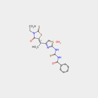 O.O=C(O)CN1C(=O)/C(=C(\C(=O)O)c2csc(NC(=S)NC(=O)c3ccccc3)n2)SC1=S